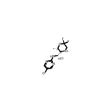 C[C@@H]1OC(F)(F)CN[C@@H]1CNc1ncc(Cl)cn1.Cl